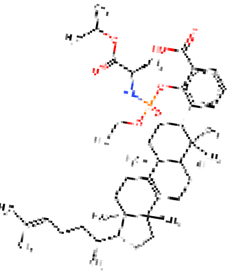 CCOP(=O)(N[C@H](C)C(=O)OC(C)C)Oc1c(C(=O)O)cccc1[C@H]1CC[C@]2(C)C3=C(CC[C@@H]2C1(C)C)[C@]1(C)CC[C@H]([C@H](C)CCC=C(C)C)[C@@]1(C)CC3